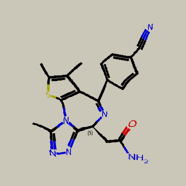 Cc1sc2c(c1C)C(c1ccc(C#N)cc1)=N[C@@H](CC(N)=O)c1nnc(C)n1-2